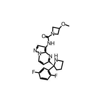 COC1CN(C(=O)Nc2cnn3ccc([C@]4(c5cc(F)ccc5F)CCCN4)nc23)C1